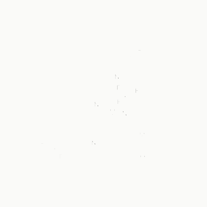 CS(=O)(=O)c1ccc2nc(-c3cccc(C(F)(F)F)c3)c(CN3CCC(N4CCC(F)(F)CC4)CC3)c(C(=O)NC(c3ccccc3)C(F)(F)F)c2c1